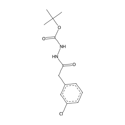 CC(C)(C)OC(=O)NNC(=O)Cc1cccc(Cl)c1